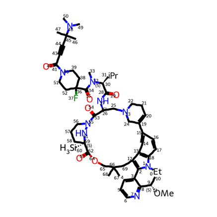 CCn1c(-c2cccnc2[C@H](C)OC)c2c3cc(ccc31)C1=CCCN(C1)C[C@H](NC(=O)[C@H](C(C)C)N(C)C(=O)C1(F)CCN(C(=O)C#CC(C)(C)N(C)C)CC1)C(=O)N1CCC[C@@]([SiH3])(N1)C(=O)OCC(C)(C)C2